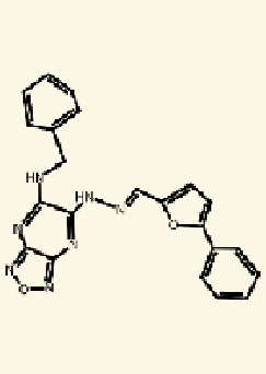 C(=NNc1nc2nonc2nc1NCc1ccccc1)c1ccc(-c2ccccc2)o1